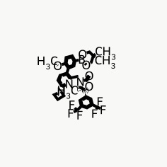 COc1ccc(B2OCC(C)(C)CO2)cc1-c1ccc(N2CCC2)nc1CN1C(=O)O[C@H](c2cc(C(F)(F)F)cc(C(F)(F)F)c2)[C@@H]1C